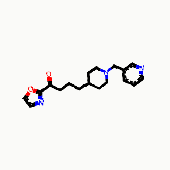 O=C(CCCC1CCN(Cc2cccnc2)CC1)c1ncco1